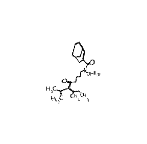 CCC(C)C(C(=O)CCCCN(C)C(=O)C1=CC2CCCC(C1)C2)C(C)C